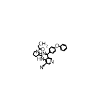 C=CC(=O)N1CCCC1CNc1c(C#N)cncc1C(=N)c1ccc(Oc2ccccc2)cc1